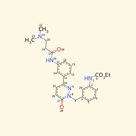 CCOC(=O)Nc1cccc(Cn2nc(-c3cccc(NC(=O)CCN(C)C)c3)ccc2=O)c1